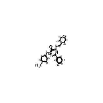 Cc1ccc(Cc2nc(-c3ccccc3)nn(CCN3CCOCC3)c2=O)cc1